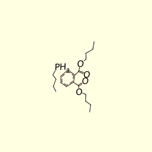 CCCCOC(=O)c1ccccc1C(=O)OCCCC.CCCCP